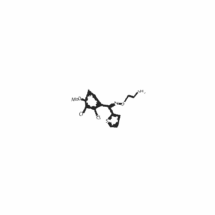 COc1ccc(C(=NOCCN)c2cccs2)c(Cl)c1Cl